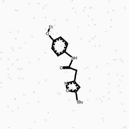 CCOc1ccc(NC(=O)Cc2cc(C(C)(C)C)on2)cc1